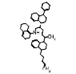 C=CCCCC1CCC(C(C)CCC(CNC2=C3CCCCC3=CCC2)[C@@H]2CCC(C3=CCCCC3)C3CCC=CC32)C2C=CC=CC12